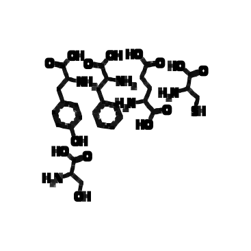 NC(CCC(=O)O)C(=O)O.NC(CO)C(=O)O.NC(CS)C(=O)O.NC(Cc1ccc(O)cc1)C(=O)O.NC(Cc1ccccc1)C(=O)O